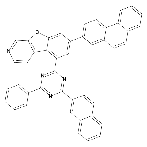 c1ccc(-c2nc(-c3ccc4ccccc4c3)nc(-c3cc(-c4ccc5c(ccc6ccccc65)c4)cc4oc5cnccc5c34)n2)cc1